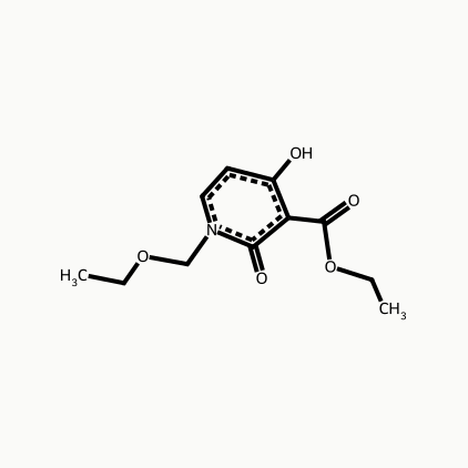 CCOCn1ccc(O)c(C(=O)OCC)c1=O